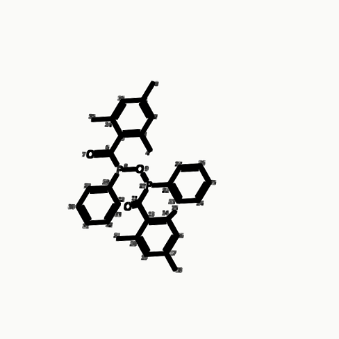 Cc1cc(C)c(C(=O)P(OP(C(=O)c2c(C)cc(C)cc2C)c2ccccc2)c2ccccc2)c(C)c1